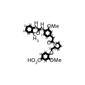 COc1cc(CC(=O)N2CCCC2COc2ccc(C(=O)O)cc2OC)ccc1NC(=O)Nc1ccccc1C